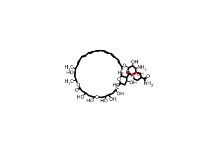 C[C@H]1C[C@H](O)[C@@H](C)/C=C/C=C/C=C/C=C/C=C/C=C/C=C/C(O[C@@H]2OC[C@@H](O)[C@H](N)[C@@H]2O)C[C@@H]2OC(O)(CC(O)CC(O)C(O)CCC(O)CC(O)CC(=O)O1)C[C@H](O)C2C(=O)N1CCC(C(N)=O)CC1